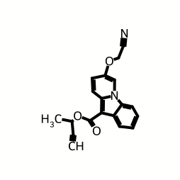 C#CC(C)OC(=O)c1c2ccccc2n2cc(OCC#N)ccc12